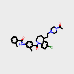 CC(=O)N1CCN(CCC2CCCN(C(=O)c3ccc(NC(=O)c4ccccc4C)cc3C)c3ccc(Cl)cc32)CC1